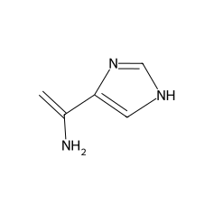 C=C(N)c1c[nH]cn1